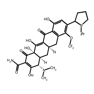 CC(C)N1CCCC1c1cc(O)c2c(c1OC(F)(F)F)C[C@H]1C[C@H]3[C@H](N(C)C)C(O)=C(C(N)=O)C(=O)[C@@]3(O)C(O)=C1C2=O